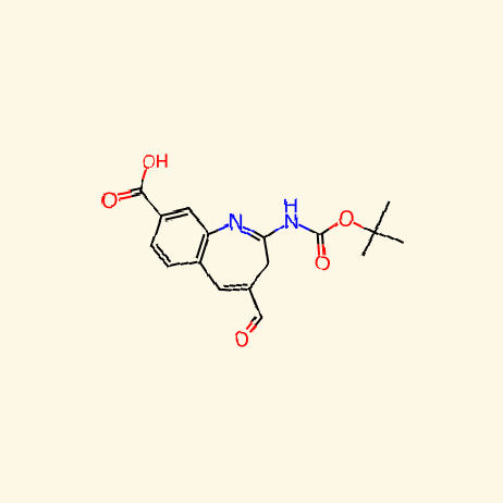 CC(C)(C)OC(=O)NC1=Nc2cc(C(=O)O)ccc2C=C(C=O)C1